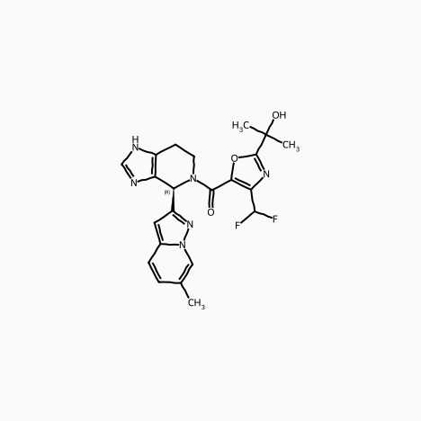 Cc1ccc2cc([C@H]3c4nc[nH]c4CCN3C(=O)c3oc(C(C)(C)O)nc3C(F)F)nn2c1